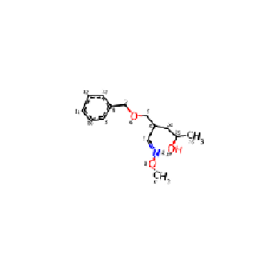 CON=CC(COCc1ccccc1)CC(C)O